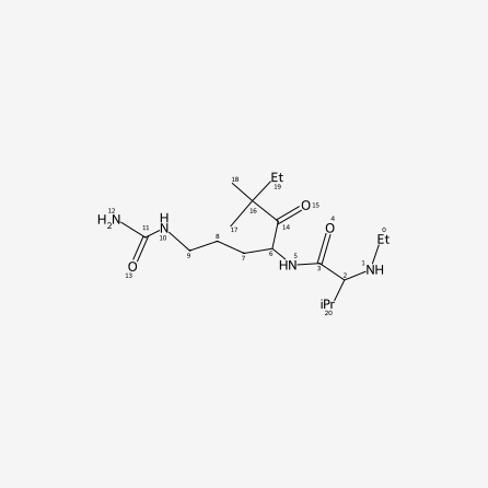 CCNC(C(=O)NC(CCCNC(N)=O)C(=O)C(C)(C)CC)C(C)C